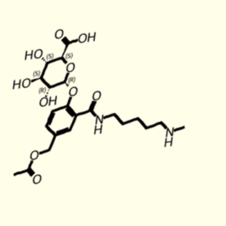 CNCCCCCNC(=O)c1cc(COC(C)=O)ccc1O[C@H]1O[C@H](C(=O)O)[C@@H](O)[C@H](O)[C@H]1O